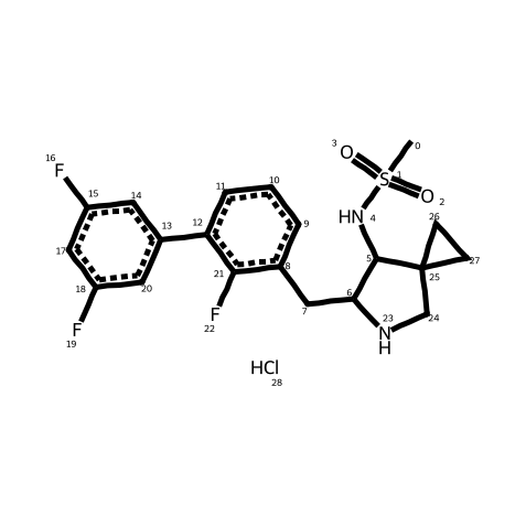 CS(=O)(=O)NC1C(Cc2cccc(-c3cc(F)cc(F)c3)c2F)NCC12CC2.Cl